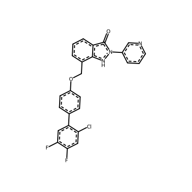 O=c1c2cccc(COc3ccc(-c4cc(F)c(F)cc4Cl)cc3)c2[nH]n1-c1cccnc1